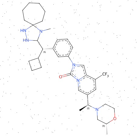 C[C@@H]1CN([C@@H](C)c2cc(C(F)(F)F)c3cn(-c4cccc([C@H](C5CCC5)C5NNC6(CCCCCC6)N5C)c4)c(=O)n3c2)CCO1